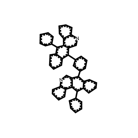 c1ccc(-c2c3ccccc3c(-c3cccc(-c4c5ccccc5c(-c5ccccc5)c5c4cnc4ccccc45)c3)c3cnc4ccccc4c23)cc1